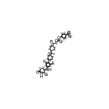 CC(C)(C1CCN(C(=O)COC(=O)Oc2ccc([N+](=O)[O-])cc2)CC1)N1CCN(c2c(F)cc(NC3CCC(=O)NC3=O)cc2F)CC1